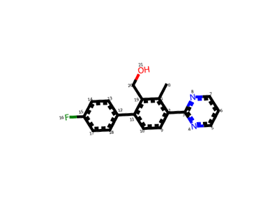 Cc1c(-c2ncccn2)ccc(-c2ccc(F)cc2)c1CO